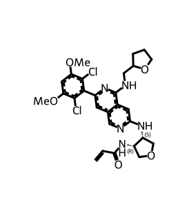 C=CC(=O)N[C@H]1COC[C@H]1Nc1cc2c(NCC3CCCO3)nc(-c3c(Cl)c(OC)cc(OC)c3Cl)cc2cn1